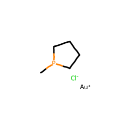 CP1CCCC1.[Au+].[Cl-]